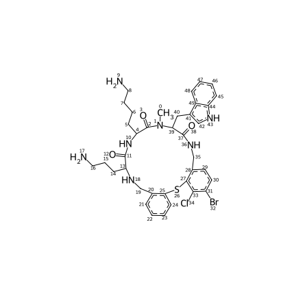 CN1C(=O)C(CCCCN)NC(=O)C(CCCN)NCc2ccccc2Sc2c(ccc(Br)c2Cl)CNC(=O)C1Cc1c[nH]c2ccccc12